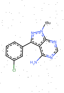 CC(C)(C)n1nc(-c2cccc(Cl)c2)c2c(N)ncnc21